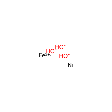 [Fe+3].[Ni].[OH-].[OH-].[OH-]